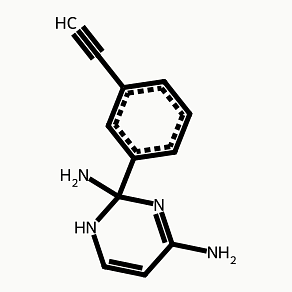 C#Cc1cccc(C2(N)N=C(N)C=CN2)c1